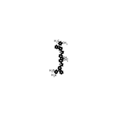 Cc1cc(C)cc(-n2c3ccccc3c3cc(-c4ccc(-c5ccc6c(c5)C(C)(C)c5cc(-c7ccc(-c8ccc9c(c8)c8ccccc8n9-c8cc(C)cc(C)c8)s7)ccc5-6)s4)ccc32)c1